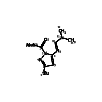 CNC(=O)n1nc(C(C)(C)C)cc1/N=C/N(C)C